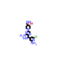 N=C(c1cc(N)nc(Cl)c1)c1ncc(N2CCC(O)(CN)CC2)nc1N